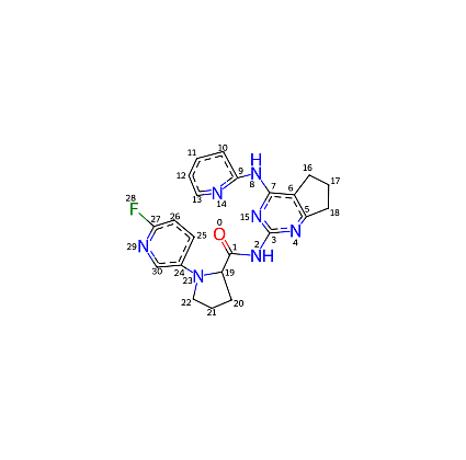 O=C(Nc1nc2c(c(Nc3ccccn3)n1)CCC2)C1CCCN1c1ccc(F)nc1